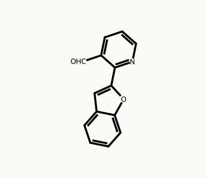 O=Cc1cccnc1-c1cc2ccccc2o1